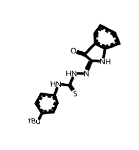 CC(C)(C)c1ccc(NC(=S)NN=C2Nc3ccccc3C2=O)cc1